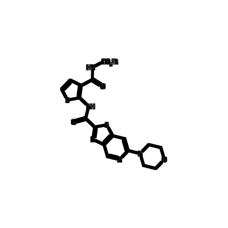 CCOC(=O)NC(=O)c1ccsc1NC(=O)c1nc2cnc(N3CCOCC3)cc2s1